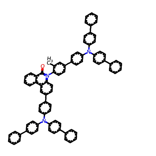 Cc1cc(-c2ccc(N(c3ccc(-c4ccccc4)cc3)c3ccc(-c4ccccc4)cc3)cc2)ccc1-n1c(=O)c2ccccc2c2cc(-c3ccc(N(c4ccc(-c5ccccc5)cc4)c4ccc(-c5ccccc5)cc4)cc3)ccc21